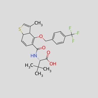 CC1=CSC2C=CC(C(=O)N[C@H](C(=O)O)C(C)(C)C)=C(OCc3ccc(C(F)(F)F)cc3)C12